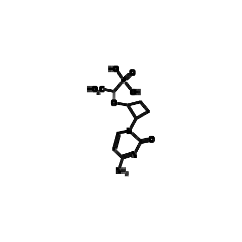 Nc1ccn(C2CCC2OC(C(=O)O)P(=O)(O)O)c(=O)n1